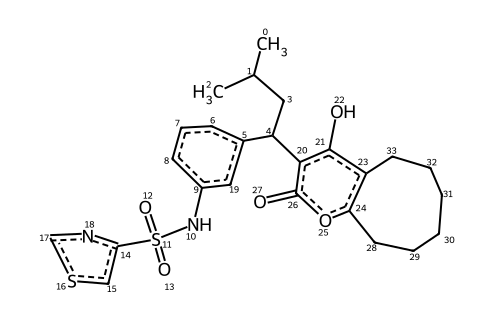 CC(C)CC(c1cccc(NS(=O)(=O)c2cscn2)c1)c1c(O)c2c(oc1=O)CCCCCC2